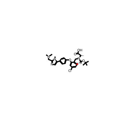 C[C@@H](C(=O)O)N(Cc1c(F)cc(Cl)cc1Oc1ccc(-c2cnc(CN(C)C)n2C)cc1)C(=O)OC(C)(C)C